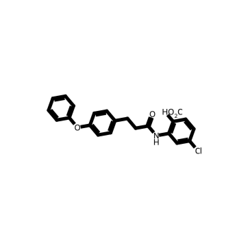 O=C(CCc1ccc(Oc2ccccc2)cc1)Nc1cc(Cl)ccc1C(=O)O